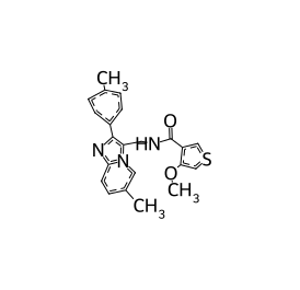 COc1cscc1C(=O)NCc1c(-c2ccc(C)cc2)nc2ccc(C)cn12